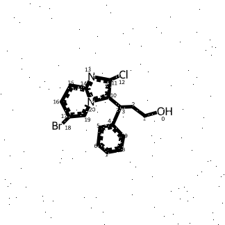 OCCC(c1ccccc1)c1c(Cl)nc2ccc(Br)cn12